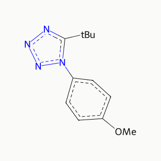 COc1ccc(-n2nnnc2C(C)(C)C)cc1